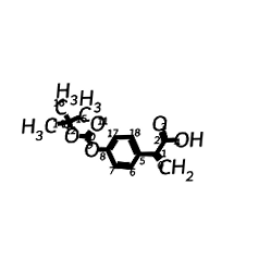 C=C(C(=O)O)c1ccc(OC(=O)OC(C)(C)C)cc1